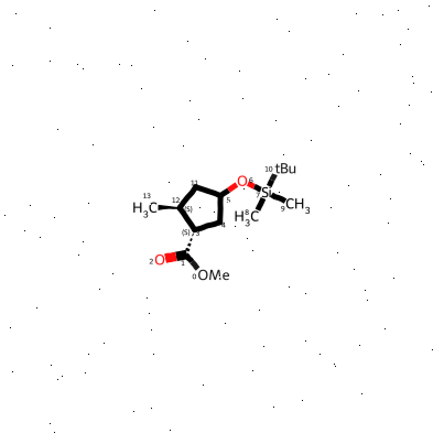 COC(=O)[C@H]1CC(O[Si](C)(C)C(C)(C)C)C[C@@H]1C